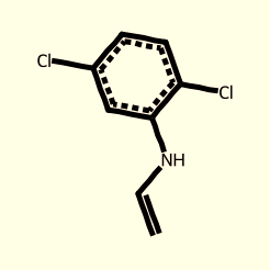 C=CNc1cc(Cl)ccc1Cl